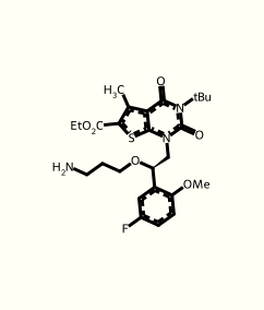 CCOC(=O)c1sc2c(c1C)c(=O)n(C(C)(C)C)c(=O)n2C[C@H](OCCCN)c1cc(F)ccc1OC